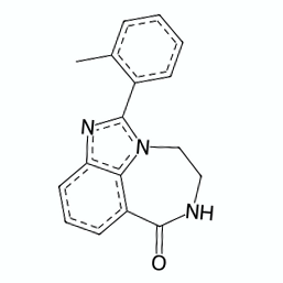 Cc1ccccc1-c1nc2cccc3c2n1CCNC3=O